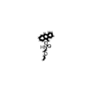 CCCOCCNC(=O)OCc1c2ccccc2cc2ccccc12